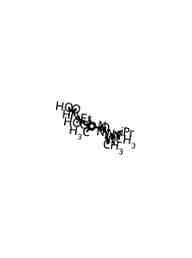 CCc1cc(-c2noc(-c3cc(C)nc(N(C)CC(C)C)n3)n2)cc(C)c1OC[C@@H](O)CNC(=O)CO